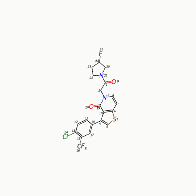 O=C(Cn1ccc2scc(-c3ccc(Cl)c(C(F)(F)F)c3)c2c1=O)N1CCC(F)C1